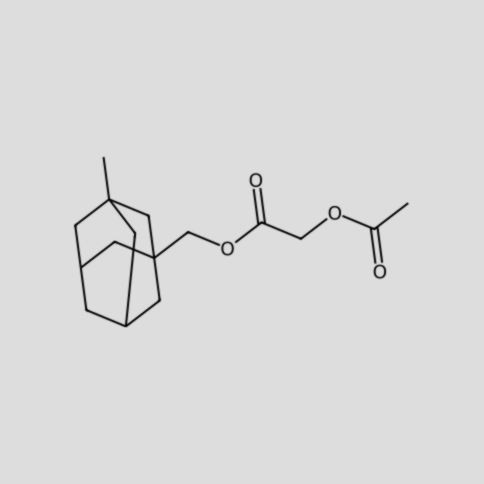 CC(=O)OCC(=O)OCC12CC3CC(CC(C)(C3)C1)C2